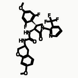 COc1cc(F)c([C@@H]2CN(c3ncccc3C(F)(F)F)C(=O)[C@H]2NC(=O)NC2COc3cc(OC)ccc3C2)c(F)c1